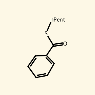 CCCCCSC(=O)c1ccccc1